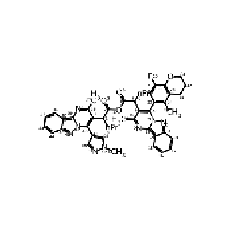 CCCC(C(=O)OC(=O)C(CCC)c1c(C)nc2c3ccccc3nn2c1-c1cc(F)c2c(c1C)CCCO2)c1c(C)nc2c3ccccc3nn2c1-c1cnn(C)c1